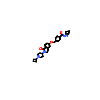 O=C(NC1CCC1)c1ccc(COc2ccc3c(c2)CCN(C2CCN(C4CCC4)CC2)C3=O)cc1